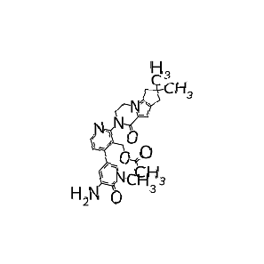 CC(=O)OCc1c(-c2cc(N)c(=O)n(C)c2)ccnc1N1CCn2c(cc3c2CC(C)(C)C3)C1=O